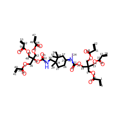 C=CC(=O)OCC(COC(=O)C=C)(COC(=O)C=C)COC(=O)N(I)C1CCC(C)(CNC(=O)OC(COC(=O)C=C)(COC(=O)C=C)COC(=O)C=C)C(C)(C)C1